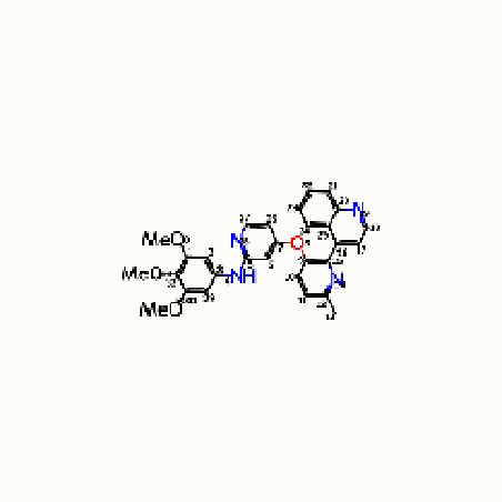 COc1cc(Nc2cc(Oc3ccc(C)nc3-c3ccnc4ccccc34)ccn2)cc(OC)c1OC